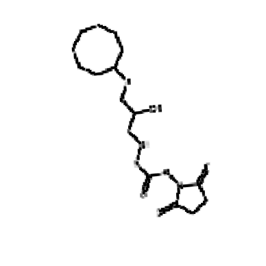 O=C(ON1C(=O)CCC1=O)SNCC(O)COC1CCCCCCC1